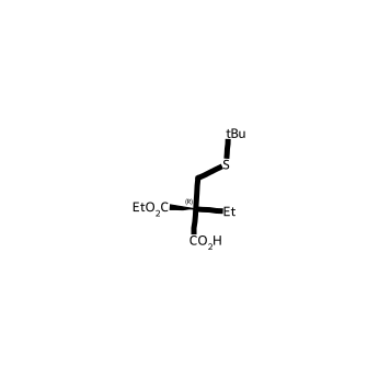 CCOC(=O)[C@](CC)(CSC(C)(C)C)C(=O)O